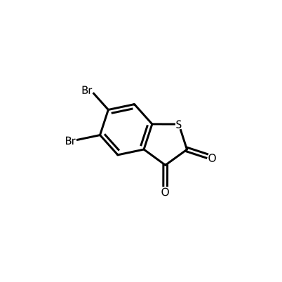 O=C1Sc2cc(Br)c(Br)cc2C1=O